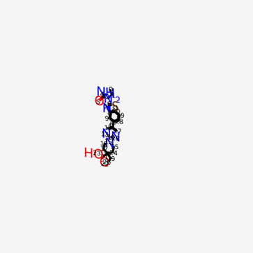 CCN(C(N)=O)c1nc2cc(-c3cnc(N4CCC(CC)(C(=O)O)CC4)nc3)ccc2s1